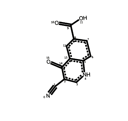 N#Cc1c[nH]c2ccc(C(=O)O)cc2c1=O